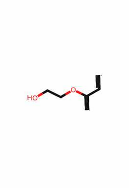 [CH]=CC(=[CH])OCCO